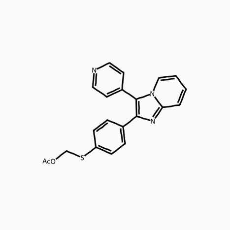 CC(=O)OCSc1ccc(-c2nc3ccccn3c2-c2ccncc2)cc1